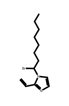 C=Cc1nccn1C(Br)CCCCCCC